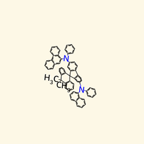 CC1(C)c2ccccc2C2(c3cc(N(c4ccccc4)c4cccc5ccccc45)ccc3-c3ccc(N(c4ccccc4)c4cc5ccccc5c5ccccc45)cc32)c2ccccc21